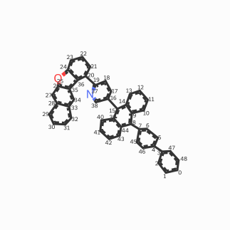 c1ccc(-c2ccc(-c3c4ccccc4c(-c4ccc(-c5cccc6oc7cc8ccccc8cc7c56)nc4)c4ccccc34)cc2)cc1